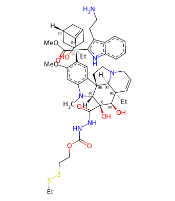 CCSSCCOC(=O)NNC(=O)[C@@]1(O)[C@H](O)[C@]2(CC)C=CCN3CC[C@@]4(c5cc([C@@](C(=O)OC)(C6=C7C[C@H]6C[C@@](O)(CC)C7)c6[nH]c7ccccc7c6CCN)c(OC)cc5N(C)[C@@H]14)[C@@H]32